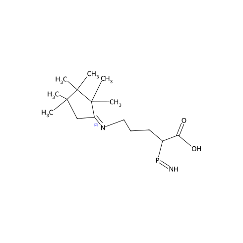 CC1(C)C/C(=N/CCCC(P=N)C(=O)O)C(C)(C)C1(C)C